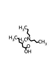 CCCCCC(=O)O.CCCCN(C)CCCC